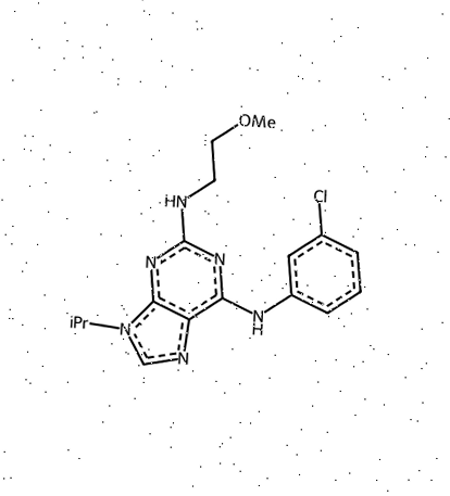 COCCNc1nc(Nc2cccc(Cl)c2)c2ncn(C(C)C)c2n1